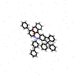 Cc1ccc2c(c1-c1cc3c(cc1N(c1ccc(-c4ccccc4)cc1)c1ccc(-c4ccccc4)cc1)C(c1ccccc1)(c1ccccc1)c1ccccc1-3)CCCC2